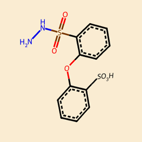 NNS(=O)(=O)c1ccccc1Oc1ccccc1S(=O)(=O)O